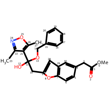 COC(=O)Cc1ccc2oc(CC(O)(OCc3ccccc3)c3c(C)noc3C)cc2c1